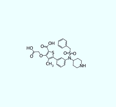 Cc1c(-c2cccc(N(C3CCNCC3)S(=O)(=O)Cc3ccccc3)c2)sc(C(=O)O)c1OCC(=O)O